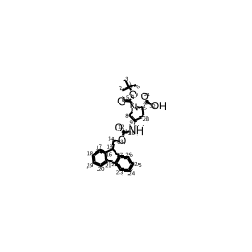 CC(C)(C)OC(=O)N1C[C@@H](NC(=O)OCC2c3ccccc3-c3ccccc32)C[C@H]1C(=O)O